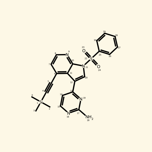 C[Si](C)(C)C#Cc1ccnc2c1c(-c1ccnc(N)n1)cn2S(=O)(=O)c1ccccc1